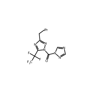 CC(C)Cc1nc(C(F)(F)C(F)(F)F)n(C(=O)n2cncn2)n1